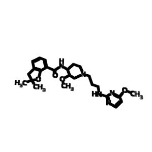 COc1ccnc(NCCCN2CCC(NC(=O)c3cccc4c3OC(C)(C)C4)C(OC)C2)n1